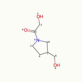 O=C(CO)N1CCC(CO)C1